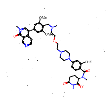 COc1cc(-c2cn(C)c(=O)c3cnccc23)cc(OC)c1CN(C)CCOCCN1CCN(c2ccc(C(=O)N(C)C3CCC(=O)NC3=O)c(C=O)c2)CC1